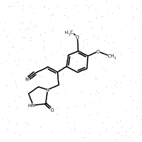 COc1ccc(C(=CC#N)CN2CCNC2=O)cc1OC